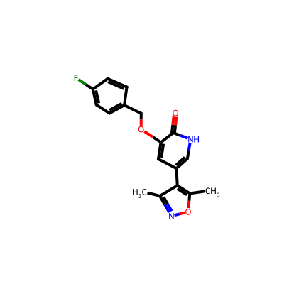 Cc1noc(C)c1-c1c[nH]c(=O)c(OCc2ccc(F)cc2)c1